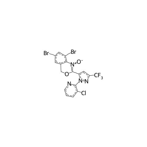 [O-][N+]1=C(c2cc(C(F)(F)F)nn2-c2ncccc2Cl)OCc2cc(Br)cc(Br)c21